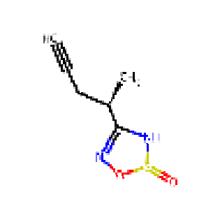 C#CC[C@@H](C)C1=NOS(=O)N1